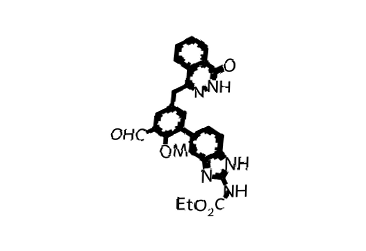 CCOC(=O)Nc1nc2cc(-c3cc(Cc4n[nH]c(=O)c5ccccc45)cc(C=O)c3OC)ccc2[nH]1